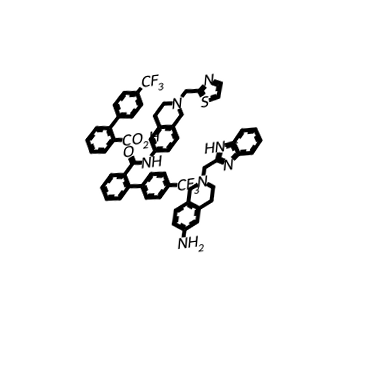 Nc1ccc2c(c1)CCN(Cc1nc3ccccc3[nH]1)C2.O=C(Nc1ccc2c(c1)CCN(Cc1nccs1)C2)c1ccccc1-c1ccc(C(F)(F)F)cc1.O=C(O)c1ccccc1-c1ccc(C(F)(F)F)cc1